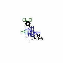 CC(C)(C)CC(C)(C)NC(=N)NC(=N)NCc1ccc(Cl)c(Cl)c1.Cl